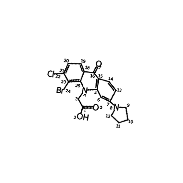 O=C(O)Cn1c2cc(N3CCCC3)ccc2c(=O)c2ccc(Cl)c(Br)c21